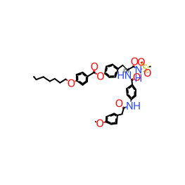 CCCCCCCOc1ccc(C(=O)Oc2ccc(C[C@H](NC(=O)c3ccc(NC(=O)Cc4ccc(OC)cc4)cc3)C(=O)NS(C)(=O)=O)cc2)cc1